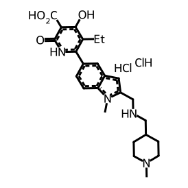 CCc1c(-c2ccc3c(c2)cc(CNCC2CCN(C)CC2)n3C)[nH]c(=O)c(C(=O)O)c1O.Cl.Cl